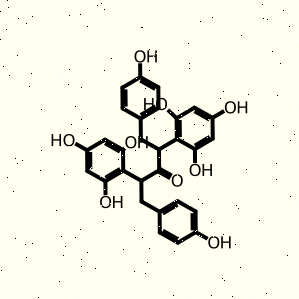 O=C(C(Cc1ccc(O)cc1)c1c(O)cc(O)cc1O)C(Cc1ccc(O)cc1)c1c(O)cc(O)cc1O